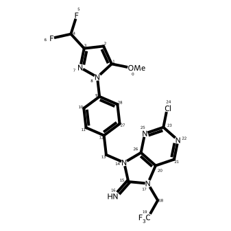 COc1cc(C(F)F)nn1-c1ccc(Cn2c(=N)n(CC(F)(F)F)c3cnc(Cl)nc32)cc1